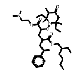 CCCCC(CC)COC(=O)C(CC(ON1C(C)(CC)CC(=O)C(C)C1(C)CC)C(=O)OCCN(C)C)CC(C)c1ccccc1